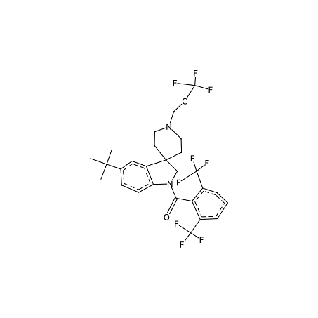 CC(C)(C)c1ccc2c(c1)C1(CCN(CCC(F)(F)F)CC1)CN2C(=O)c1c(C(F)(F)F)cccc1C(F)(F)F